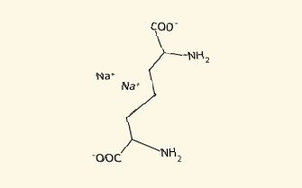 NC(CCCC(N)C(=O)[O-])C(=O)[O-].[Na+].[Na+]